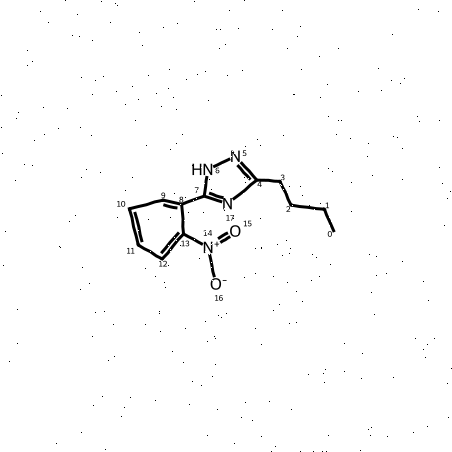 CCCCc1n[nH]c(-c2ccccc2[N+](=O)[O-])n1